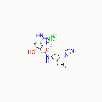 Cc1cc(NC(=O)Cc2cc(C(=N)N)ccc2O)ccc1Cn1ccnc1.Cl.Cl